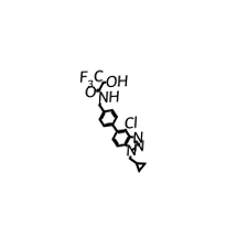 O=C(NCc1ccc(-c2ccc3c(nnn3CC3CC3)c2Cl)cc1)C(O)C(F)(F)F